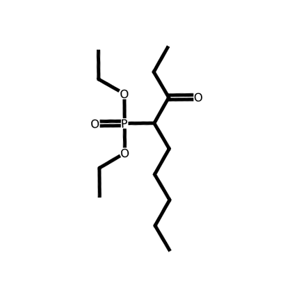 CCCCCC(C(=O)CC)P(=O)(OCC)OCC